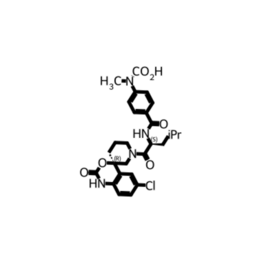 CC(C)C[C@H](NC(=O)c1ccc(N(C)C(=O)O)cc1)C(=O)N1CCC[C@@]2(C1)OC(=O)Nc1ccc(Cl)cc12